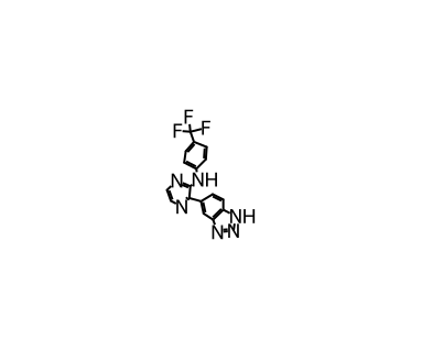 FC(F)(F)c1ccc(Nc2nccnc2-c2ccc3[nH]nnc3c2)cc1